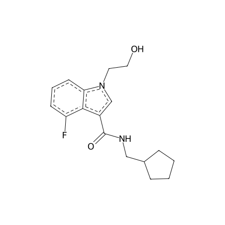 O=C(NCC1CCCC1)c1cn(CCO)c2cccc(F)c12